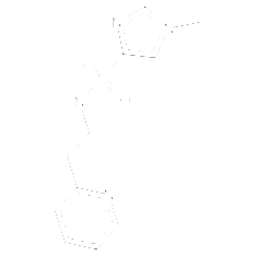 Cn1cnc(S(=O)(=O)NCCc2ccccn2)c1